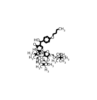 CCCCOc1ccc(C(O)c2cn([C@@H]3O[C@H](CO[Si](C)(C)C(C)(C)C)[C@@H](O[Si](C)(C)C(C)(C)C)[C@H]3O[Si](C)(C)C(C)(C)C)c(=O)[nH]c2=O)cc1